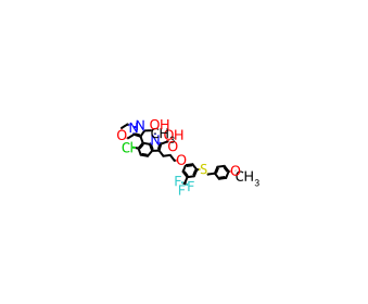 COc1ccc(CSc2cc(OCCCc3c(C(=O)O)n(C)c4c(-c5c(CO)nn6c5COCC6)c(Cl)ccc34)cc(C(F)(F)F)c2)cc1